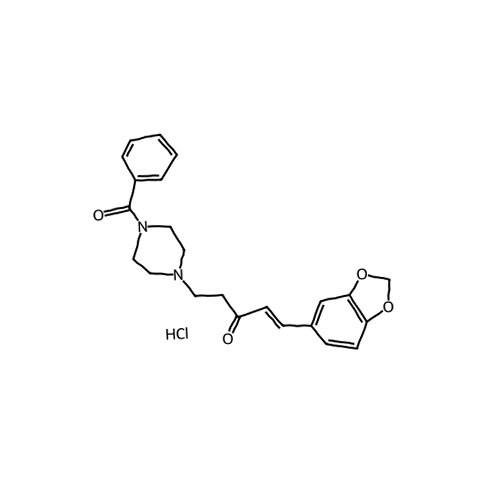 Cl.O=C(C=Cc1ccc2c(c1)OCO2)CCN1CCN(C(=O)c2ccccc2)CC1